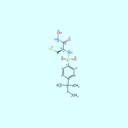 CCC(C)(C)c1ccc(S(=O)(=O)N[C@@H](CS)C(=O)NO)cc1